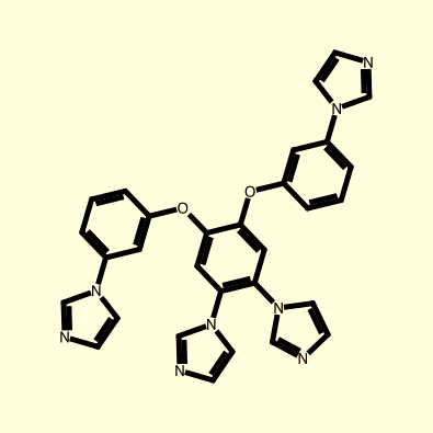 c1cc(Oc2cc(-n3ccnc3)c(-n3ccnc3)cc2Oc2cccc(-n3ccnc3)c2)cc(-n2ccnc2)c1